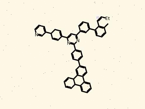 CC/C=C\c1c(C)cccc1-c1cccc(-c2cc(C3=CCC(c4cccnc4)C=C3)nc(-c3ccc(-c4ccc5c(c4)C4C=CC=CC4c4ccccc4-5)cc3)n2)c1